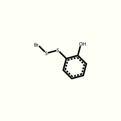 Oc1ccccc1SSBr